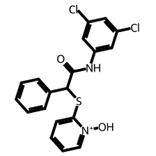 O=C(Nc1cc(Cl)cc(Cl)c1)C(Sc1cccc[n+]1O)c1ccccc1